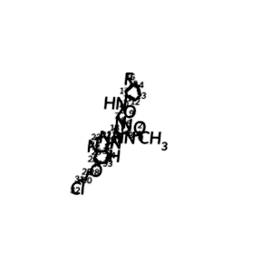 CC(=O)Nc1nn(CC(=O)Nc2cccc(F)c2)cc1Nc1ncnc2cc(OCCCCl)ccc12